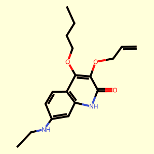 C=CCOc1c(OCCCC)c2ccc(NCC)cc2[nH]c1=O